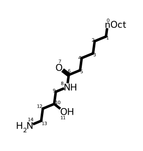 CCCCCCCCCCCCCC(=O)NCC(O)CCN